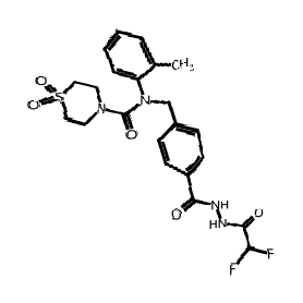 Cc1ccccc1N(Cc1ccc(C(=O)NNC(=O)C(F)F)cc1)C(=O)N1CCS(=O)(=O)CC1